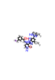 C/N=C(\NC)c1cc(C)c2nc(-c3c(NCC(O)c4cccc(CI)c4)cc[nH]c3=O)[nH]c2c1